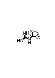 [CH2]CC(N)NC(=N)N